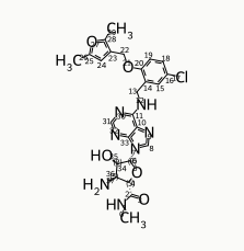 CNC(=O)[C@H]1O[C@@H](n2cnc3c(NCc4cc(Cl)ccc4OCc4cc(C)oc4C)ncnc32)[C@H](O)[C@@H]1N